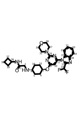 O=C(CN[C@H]1CC[C@H](Oc2cc(-n3c(C(F)F)nc4ccccc43)nc(N3CCOCC3)n2)CC1)NC1CCC1